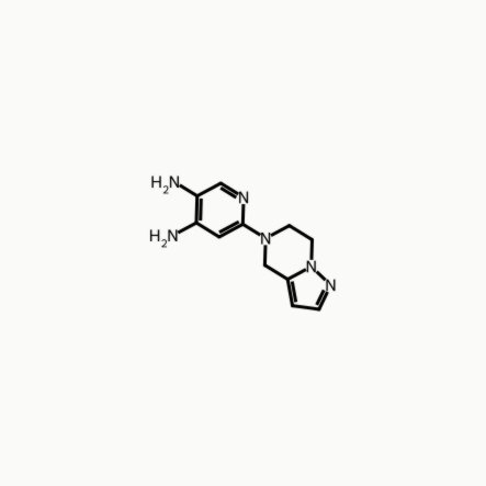 Nc1cnc(N2CCn3nccc3C2)cc1N